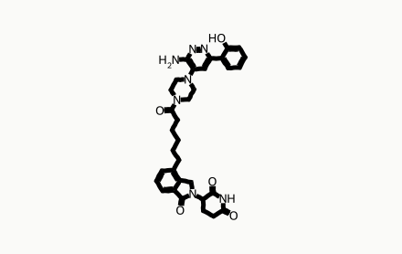 Nc1nnc(-c2ccccc2O)cc1N1CCN(C(=O)CCCCCc2cccc3c2CN(C2CCC(=O)NC2=O)C3=O)CC1